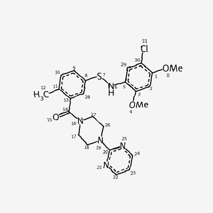 COc1cc(OC)c(NSc2ccc(C)c(C(=O)N3CCN(c4ncccn4)CC3)c2)cc1Cl